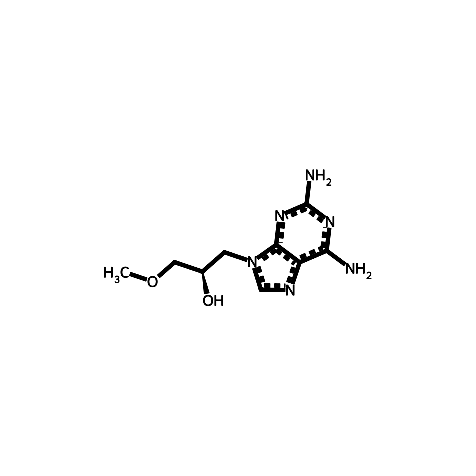 COC[C@H](O)Cn1cnc2c(N)nc(N)nc21